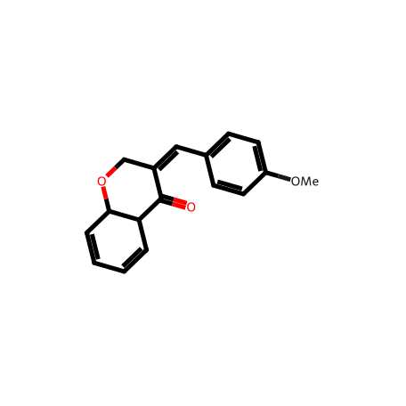 COc1ccc(C=C2COC3C=CC=CC3C2=O)cc1